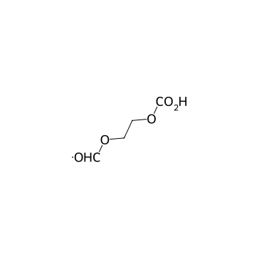 O=[C]OCCOC(=O)O